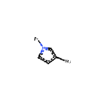 CC(C)n1ccc(C(C)(C)C)c1